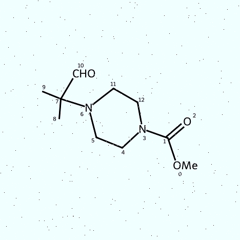 COC(=O)N1CCN(C(C)(C)C=O)CC1